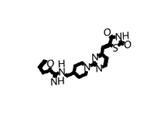 N=C(NCC1CCN(c2nccc(/C=C3\SC(=O)NC3=O)n2)CC1)C1CC=CO1